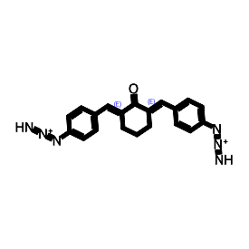 N=[N+]=Nc1ccc(/C=C2\CCC/C(=C\c3ccc(N=[N+]=N)cc3)C2=O)cc1